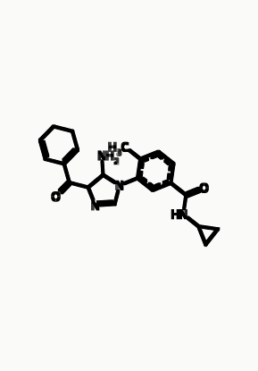 Cc1ccc(C(=O)NC2CC2)cc1N1C=NC(C(=O)C2=CCCC=C2)C1N